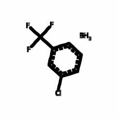 B.FC(F)(F)c1cccc(Cl)c1